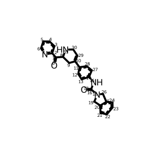 O=C(c1ccccn1)C1CC(c2ccc(NC(=O)N3Cc4ccccc4C3)cc2)=CCN1